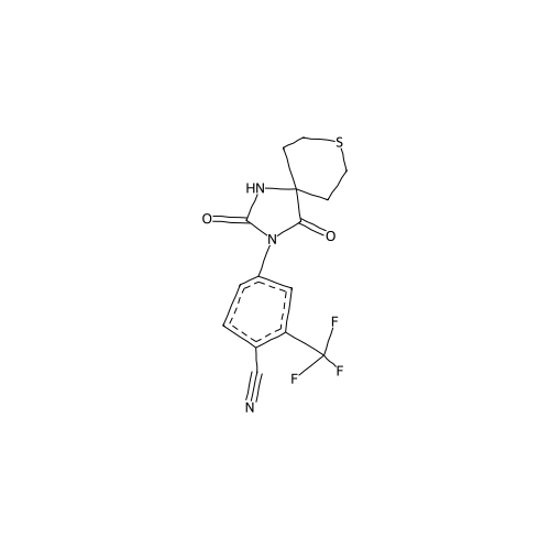 N#Cc1ccc(N2C(=O)NC3(CCSCC3)C2=O)cc1C(F)(F)F